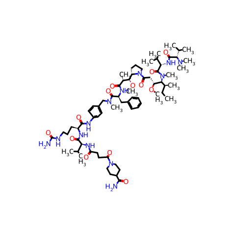 CC[C@H](C)[C@@H]([C@@H](CC(=O)N1CCC[C@H]1[C@H](OC)[C@@H](C)C(=O)N[C@@H](Cc1ccccc1)C(=O)N(C)Cc1ccc(NC(=O)[C@H](CCCNC(N)=O)NC(=O)[C@@H](NC(=O)CCC(=O)N2CCC(C(N)=O)CC2)C(C)C)cc1)OC)N(C)C(=O)[C@@H](NC(=O)[C@H](C(C)C)N(C)C)C(C)C